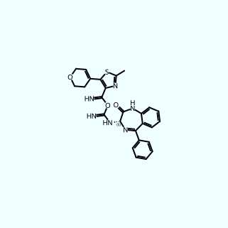 Cc1nc(C(=N)OC(=N)N[C@H]2N=C(c3ccccc3)c3ccccc3NC2=O)c(C2=CCOCC2)s1